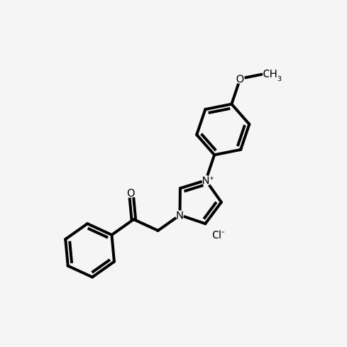 COc1ccc(-[n+]2ccn(CC(=O)c3ccccc3)c2)cc1.[Cl-]